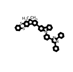 CC1(C)c2ccc(-c3ccc4c(c3)c3ccccc3n4-c3cccc(-c4cc(-c5ccccc5)nc(-c5ccccc5)n4)c3)cc2-c2cc3c(cc21)Sc1ccccc1S3